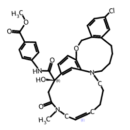 COC(=O)c1ccc(NC(=O)[C@@]2(O)CC(=O)N(C)C/C=C/CCCCN3CCCCc4cc(Cl)ccc4COc4ccc2cc43)cc1